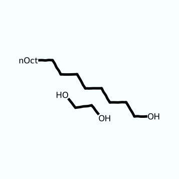 CCCCCCCCCCCCCCCCO.OCCO